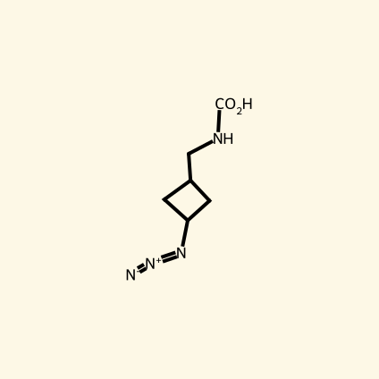 [N-]=[N+]=NC1CC(CNC(=O)O)C1